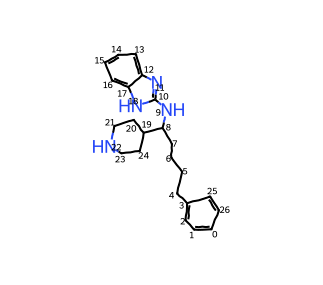 c1ccc(CCCCC(Nc2nc3ccccc3[nH]2)C2CCNCC2)cc1